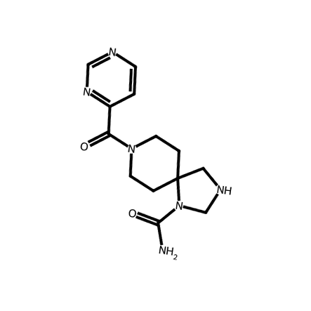 NC(=O)N1CNCC12CCN(C(=O)c1ccncn1)CC2